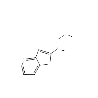 C[C@H](N[S@@+]([O-])C(C)(C)C)c1cc2ncccc2o1